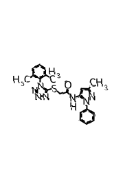 Cc1cc(NC(=O)CSc2nnnn2-c2c(C)cccc2C)n(-c2ccccc2)n1